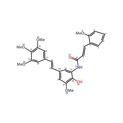 COc1ccccc1/C=C/C(=O)Nc1cc(C=Cc2cc(OC)c(OC)c(OC)c2)cc(OC)c1O